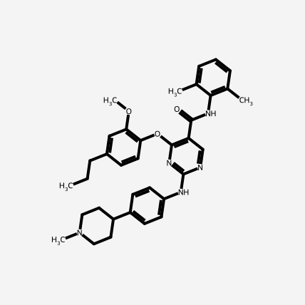 CCCc1ccc(Oc2nc(Nc3ccc(C4CCN(C)CC4)cc3)ncc2C(=O)Nc2c(C)cccc2C)c(OC)c1